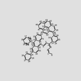 C\C=C/C=C(\C=C\c1c2ccccc2c(-c2ncccn2)c2cc(-c3ccccc3)ccc12)c1cccc(-c2ccc3ccc4cccc5ccc2c3c45)c1